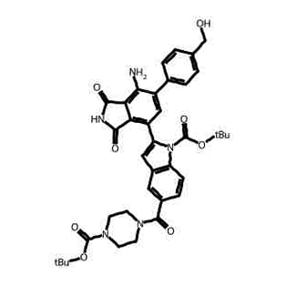 CC(C)(C)OC(=O)N1CCN(C(=O)c2ccc3c(c2)cc(-c2cc(-c4ccc(CO)cc4)c(N)c4c2C(=O)NC4=O)n3C(=O)OC(C)(C)C)CC1